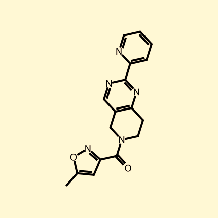 Cc1cc(C(=O)N2CCc3nc(-c4ccccn4)ncc3C2)no1